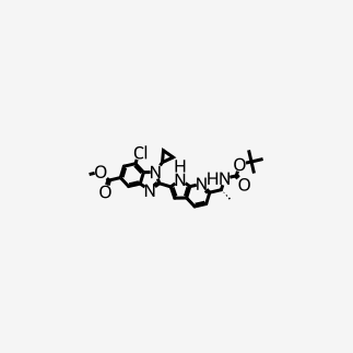 COC(=O)c1cc(Cl)c2c(c1)nc(-c1cc3ccc([C@@H](C)NC(=O)OC(C)(C)C)nc3[nH]1)n2C1CC1